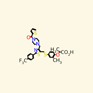 Cc1cc(SCc2sc(-c3ccc(C(F)(F)F)cc3)nc2CN2CCN(C(=O)c3cccs3)CC2)ccc1OC(C)C(=O)O